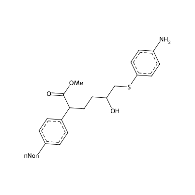 CCCCCCCCCc1ccc(C(CCC(O)CSc2ccc(N)cc2)C(=O)OC)cc1